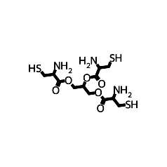 NC(CS)C(=O)OCC(COC(=O)C(N)CS)OC(=O)C(N)CS